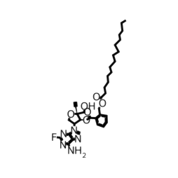 C#C[C@]1(CO)OCC(n2cnc3c(N)nc(F)nc32)[C@@H]1OC(=O)c1ccccc1COC(=O)CCCCCCCCCCCCCCC